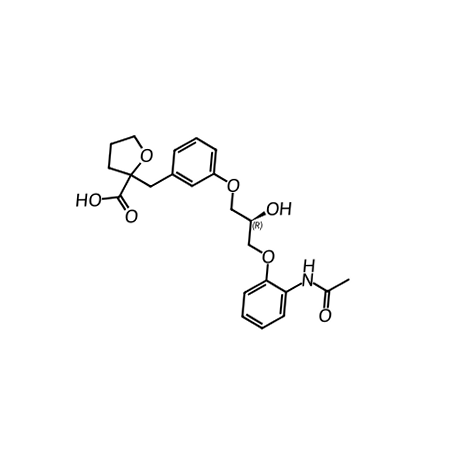 CC(=O)Nc1ccccc1OC[C@H](O)COc1cccc(CC2(C(=O)O)CCCO2)c1